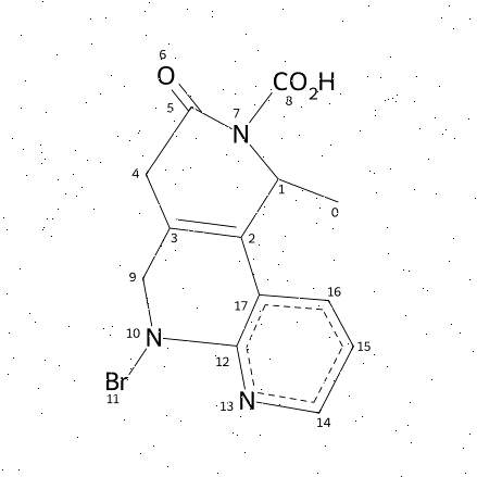 CC1C2=C(CC(=O)N1C(=O)O)CN(Br)c1ncccc12